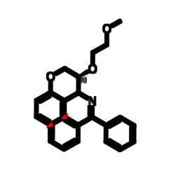 COCCO[C@@H]1COc2ccccc2C1N=C(c1ccccc1)c1ccccc1